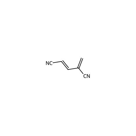 C=C(C#N)/C=C/C#N